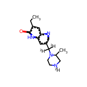 [2H]N1CCN(C([2H])([2H])c2cnc3cc(CC)c(=O)[nH]c3c2)C(C)C1